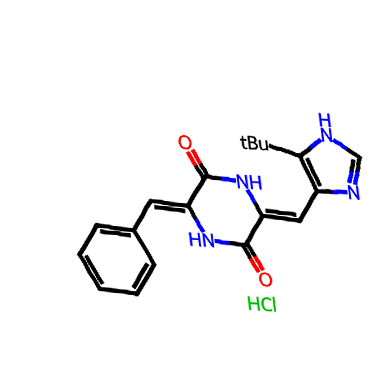 CC(C)(C)c1[nH]cnc1C=c1[nH]c(=O)c(=Cc2ccccc2)[nH]c1=O.Cl